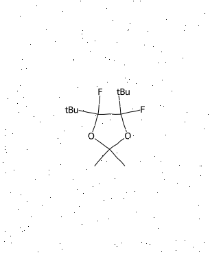 CC1(C)OC(F)(C(C)(C)C)C(F)(C(C)(C)C)O1